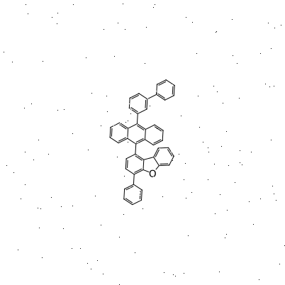 c1ccc(-c2cccc(-c3c4ccccc4c(-c4ccc(-c5ccccc5)c5oc6ccccc6c45)c4ccccc34)c2)cc1